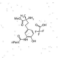 CCCCCC(=O)Nc1cc(CC[C@@](C)(N)C(=O)OC)ccc1O.O=C(O)C(F)(F)F